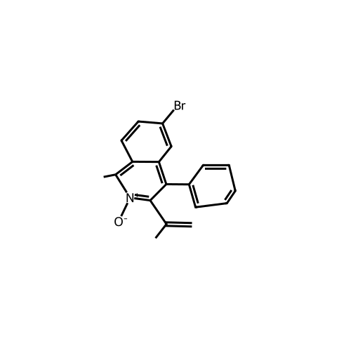 C=C(C)c1c(-c2ccccc2)c2cc(Br)ccc2c(C)[n+]1[O-]